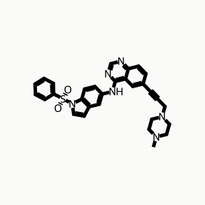 CN1CCN(CC#Cc2ccc3ncnc(Nc4ccc5c(ccn5S(=O)(=O)c5ccccc5)c4)c3c2)CC1